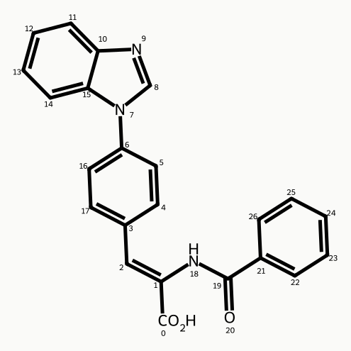 O=C(O)/C(=C/c1ccc(-n2cnc3ccccc32)cc1)NC(=O)c1ccccc1